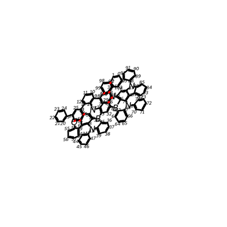 c1ccc(-c2cccc(-c3cccc(-c4cccc(-c5ccccc5)c4)c3N3c4cc5c(cc4B4c6ccccc6N(c6ccccc6)c6c4c3cc3oc4ccccc4c63)B3c4ccccc4N(c4ccccc4)c4c3c(cc3c4c4ccccc4n3-c3ccccc3)N5c3ccccc3)c2)cc1